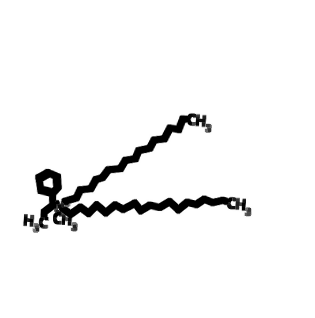 CCCCCCCCCCCCCCCCCCC[N+](C)(CCCCCCCCCCCCCCCCCC)C(CC)c1ccccc1